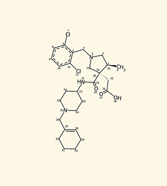 C[C@@H]1CN(Cc2c(Cl)cccc2Cl)C[C@]1(CC(=O)O)C(=O)NC1CCN(CC2=CCCCC2)CC1